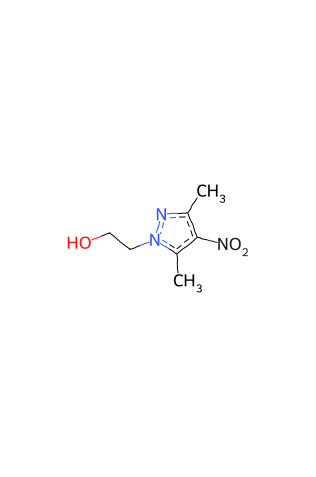 Cc1nn(CCO)c(C)c1[N+](=O)[O-]